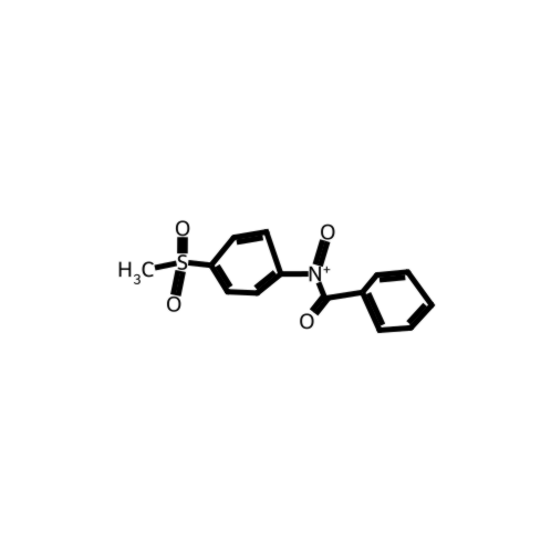 CS(=O)(=O)c1ccc([N+](=O)C(=O)c2ccccc2)cc1